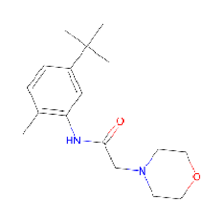 Cc1ccc(C(C)(C)C)cc1NC(=O)CN1CCOCC1